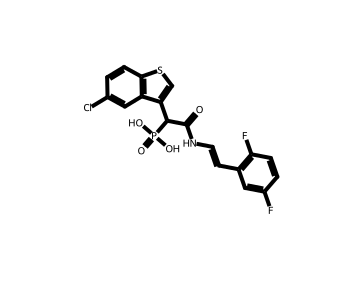 O=C(NC=Cc1cc(F)ccc1F)C(c1csc2ccc(Cl)cc12)P(=O)(O)O